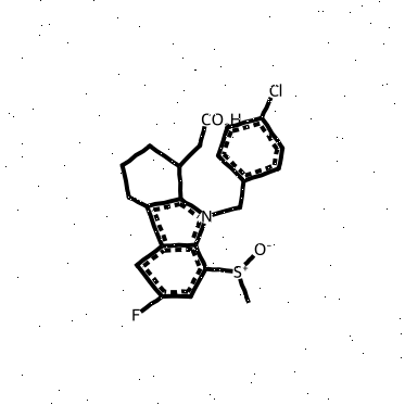 C[S+]([O-])c1cc(F)cc2c3c(n(Cc4ccc(Cl)cc4)c12)C(CC(=O)O)CCC3